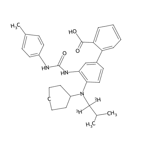 [2H]C([2H])(C(C)C)N(c1ccc(-c2ccccc2C(=O)O)cc1NC(=O)Nc1ccc(C)cc1)C1CCCCC1